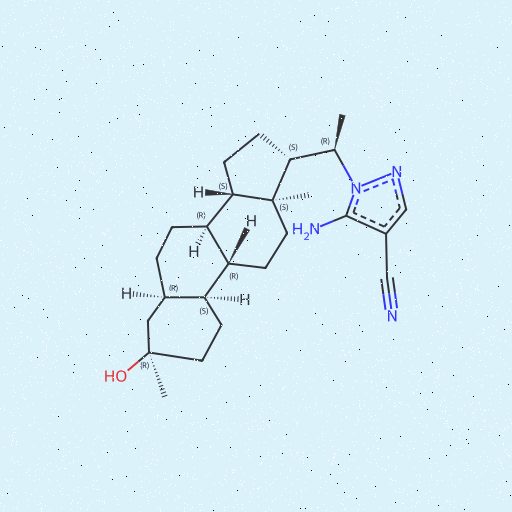 C[C@H]([C@H]1CC[C@H]2[C@@H]3CC[C@@H]4C[C@](C)(O)CC[C@@H]4[C@H]3CC[C@]12C)n1ncc(C#N)c1N